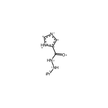 CC(C)NNC(=O)c1cnc[nH]1